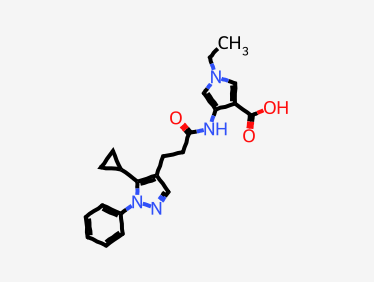 CCn1cc(NC(=O)CCc2cnn(-c3ccccc3)c2C2CC2)c(C(=O)O)c1